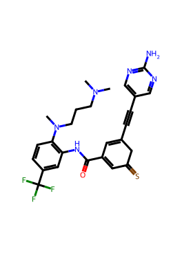 CN(C)CCCN(C)c1ccc(C(F)(F)F)cc1NC(=O)C1=CC(=S)CC(C#Cc2cnc(N)nc2)=C1